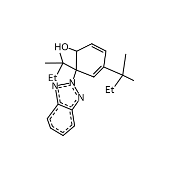 CCC(C)(C)C1=CC(n2nc3ccccc3n2)(C(C)(C)CC)C(O)C=C1